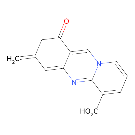 C=C1C=C2N=C3C(C(=O)O)=CC=CN3C=C2C(=O)C1